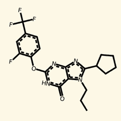 CCCn1c(C2CCCC2)nc2nc(Oc3ccc(C(F)(F)F)cc3F)[nH]c(=O)c21